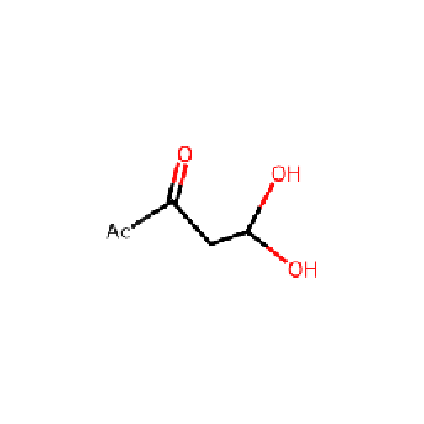 CC(=O)C(=O)CC(O)O